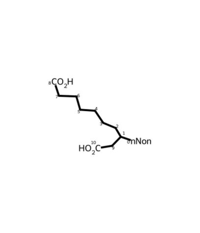 CCCCCCCCCC(CCCCCCC(=O)O)CC(=O)O